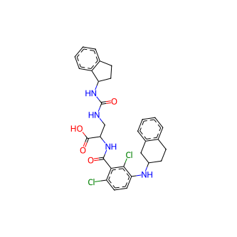 O=C(NCC(NC(=O)c1c(Cl)ccc(NC2CCc3ccccc3C2)c1Cl)C(=O)O)NC1CCc2ccccc21